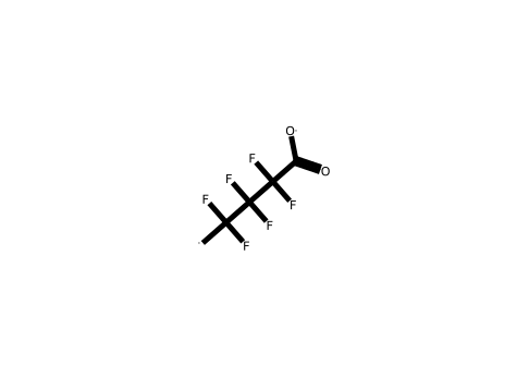 [CH2]C(F)(F)C(F)(F)C(F)(F)C([O])=O